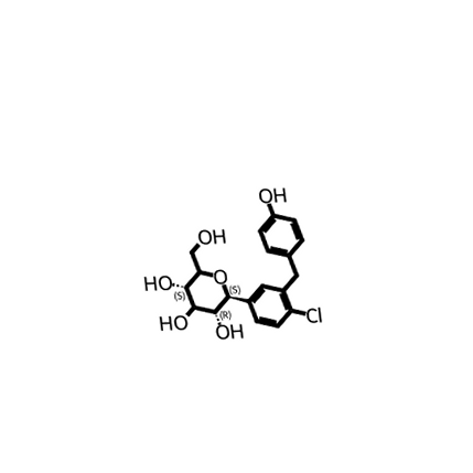 OCC1O[C@@H](c2ccc(Cl)c(Cc3ccc(O)cc3)c2)[C@H](O)C(O)[C@@H]1O